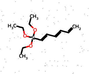 C=CC=CC=C[Si](OCC)(OCC)OCC